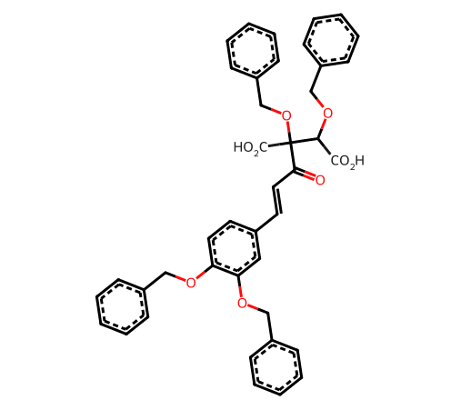 O=C(O)C(OCc1ccccc1)C(OCc1ccccc1)(C(=O)O)C(=O)C=Cc1ccc(OCc2ccccc2)c(OCc2ccccc2)c1